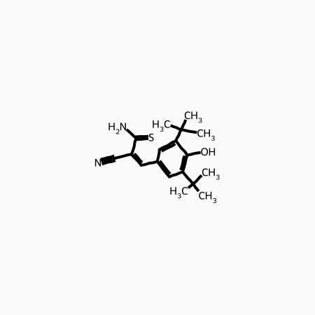 CC(C)(C)c1cc(/C=C(/C#N)C(N)=S)cc(C(C)(C)C)c1O